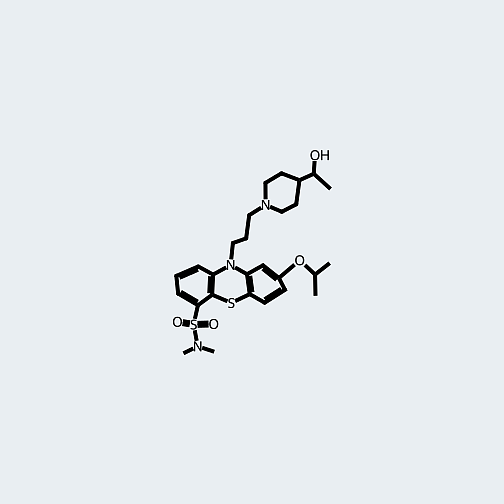 CC(C)Oc1ccc2c(c1)N(CCCN1CCC(C(C)O)CC1)c1cccc(S(=O)(=O)N(C)C)c1S2